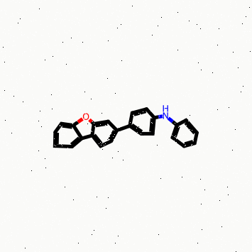 c1ccc(Nc2ccc(-c3ccc4c(c3)oc3ccccc34)cc2)cc1